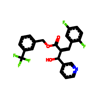 O=C(OCc1cccc(C(F)(F)F)c1)/C(=C\c1cc(F)ccc1F)C(O)c1cccnc1